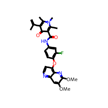 C=C(C)c1c(C)n(C)c(C)c(C(=O)Nc2ccc(Oc3ccnc4cc(OC)c(OC)nc34)c(F)c2)c1=O